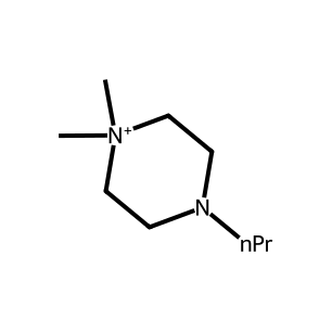 CCCN1CC[N+](C)(C)CC1